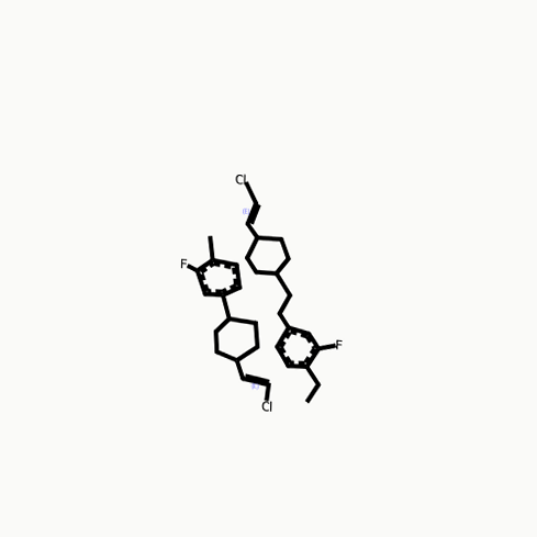 CCc1ccc(CCC2CCC(/C=C/Cl)CC2)cc1F.Cc1ccc(C2CCC(/C=C/Cl)CC2)cc1F